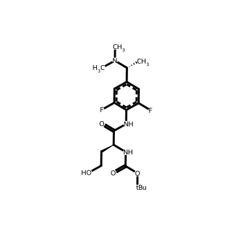 C[C@H](c1cc(F)c(NC(=O)[C@H](CCO)NC(=O)OC(C)(C)C)c(F)c1)N(C)C